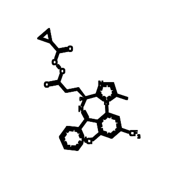 Cc1cnc2n1-c1cc(C(F)(F)F)cc(Cl)c1C(c1ccccn1)=N[C@H]2CCC(=O)OOC(=O)C1CC1